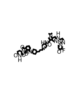 CO[C@H]1CCN(c2nccc(Nc3cc4c(cn3)c(C(=O)NC3CCN(CCCC5CCC(Nc6cccc7c6C(=O)N(C6CCC(=O)NC6=O)C7=O)CC5)CC3)cn4C(C)C)n2)C[C@H]1F